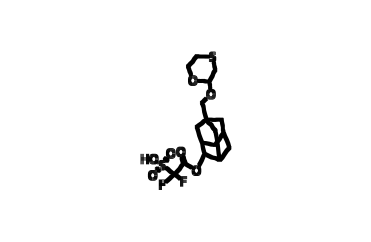 O=C(OC1C2CC3CC1CC(COC1CSCCO1)(C3)C2)C(F)(F)S(=O)(=O)O